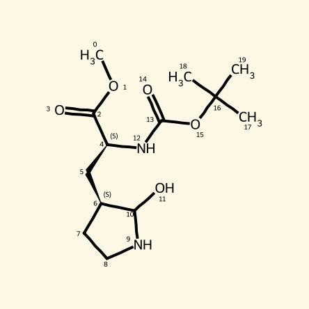 COC(=O)[C@H](C[C@@H]1CCNC1O)NC(=O)OC(C)(C)C